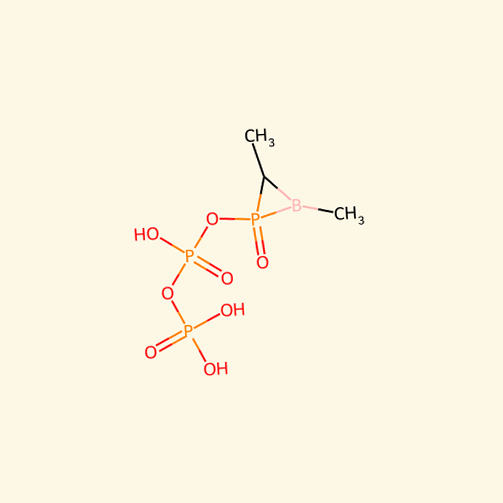 CB1C(C)P1(=O)OP(=O)(O)OP(=O)(O)O